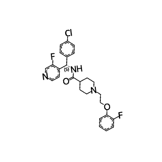 O=C(N[C@@H](c1ccc(Cl)cc1)c1ccncc1F)C1CCN(CCOc2ccccc2F)CC1